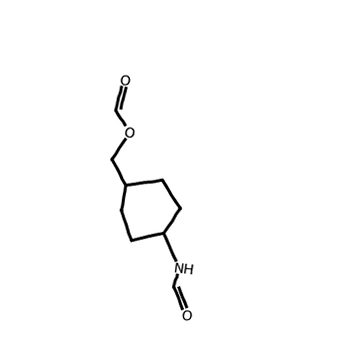 O=CNC1CCC(COC=O)CC1